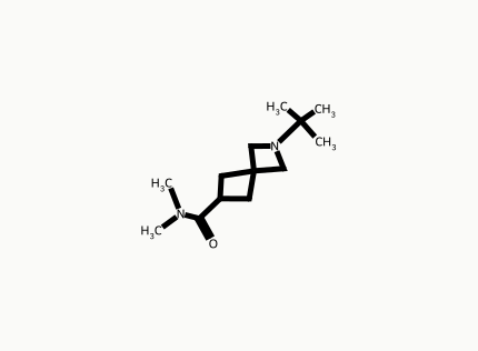 CN(C)C(=O)C1CC2(C1)CN(C(C)(C)C)C2